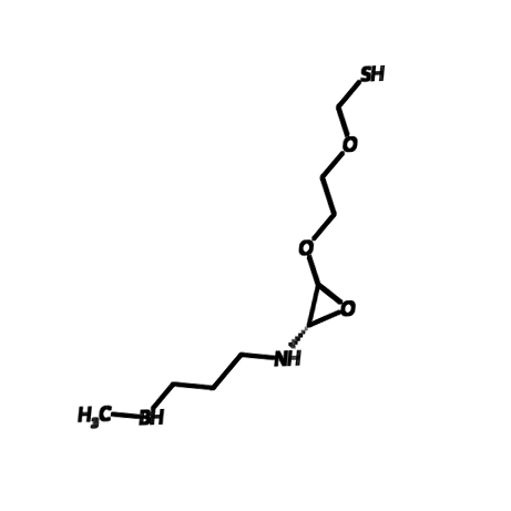 CBCCCN[C@H]1OC1OCCOCS